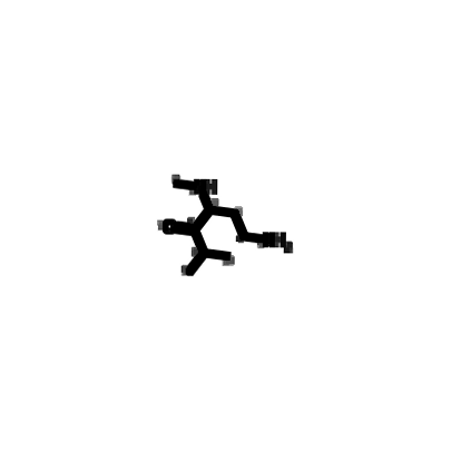 CNC(CCN)C(=O)C(C)C